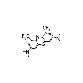 CN(C)c1cc(C(F)(F)F)c2nc3c(C(F)(F)F)cc(N(C)C)cc3[s+]c2c1